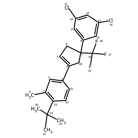 Cc1cc(C2=CCC(c3cc(Cl)cc(Cl)c3)(C(F)(F)F)C2)ccc1C(C)(C)C